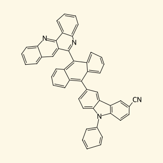 N#Cc1ccc2c(c1)c1cc(-c3c4ccccc4c(-c4nc5ccccc5c5nc6ccccc6cc45)c4ccccc34)ccc1n2-c1ccccc1